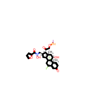 C[C@]12C[C@H](O)[C@@]3(F)C(C[C@H](F)C4=CC(=O)C=C[C@@]43C)C1C[C@@H](CN(O)C(=O)c1ccco1)[C@@H]2C(=O)COPI